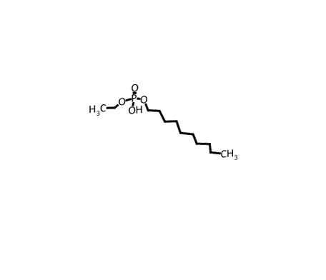 CCCCCCCCCCOP(=O)(O)OCC